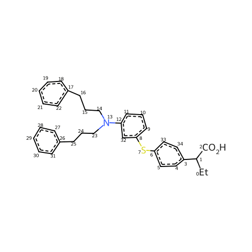 CCC(C(=O)O)c1ccc(Sc2cccc(N(CCCc3ccccc3)CCCc3ccccc3)c2)cc1